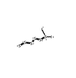 S=S=S=S=S=S(I)I